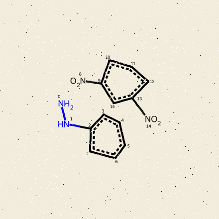 NNc1ccccc1.O=[N+]([O-])c1cccc([N+](=O)[O-])c1